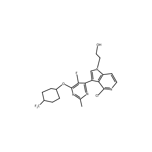 Cc1nc(OC2CCC(C(F)(F)F)CC2)c(F)c(-c2cn(CCO)c3ccnc(Cl)c23)n1